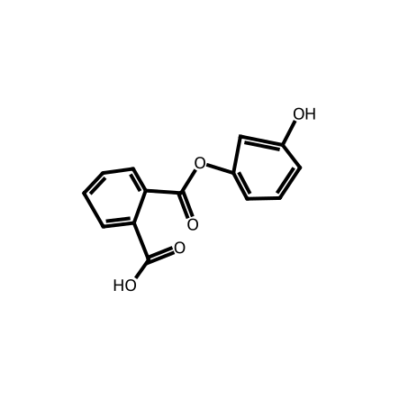 O=C(O)c1ccccc1C(=O)Oc1cccc(O)c1